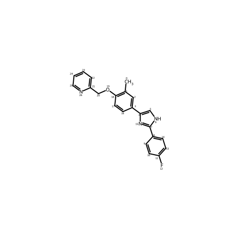 Cc1cc(-c2c[nH]c(-c3ccc(F)cc3)n2)ccc1OCc1ccccn1